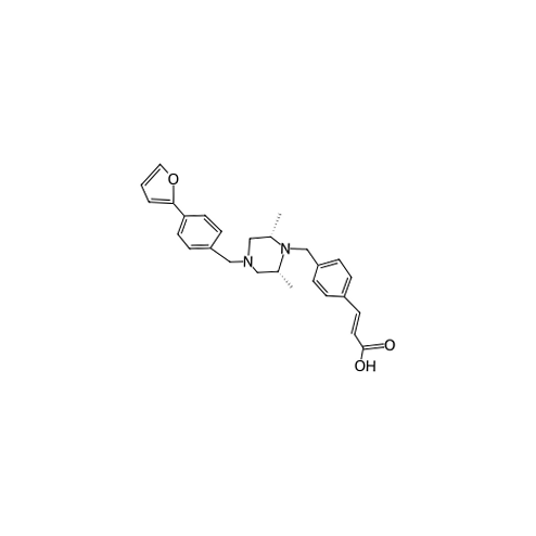 C[C@@H]1CN(Cc2ccc(-c3ccco3)cc2)C[C@H](C)N1Cc1ccc(C=CC(=O)O)cc1